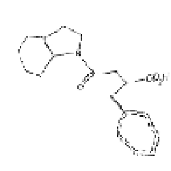 O=C(O)C(CC(=O)N1CCC2CCCCC21)Cc1ccccc1